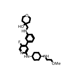 COCCN[C@H]1CC[C@H](Nc2cc(-c3cccc(NCC4(O)CCOCC4)c3)c(F)cn2)CC1